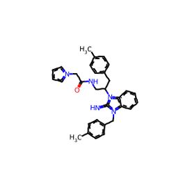 Cc1ccc(CC(CNC(=O)Cn2cccc2)n2c(=N)n(Cc3ccc(C)cc3)c3ccccc32)cc1